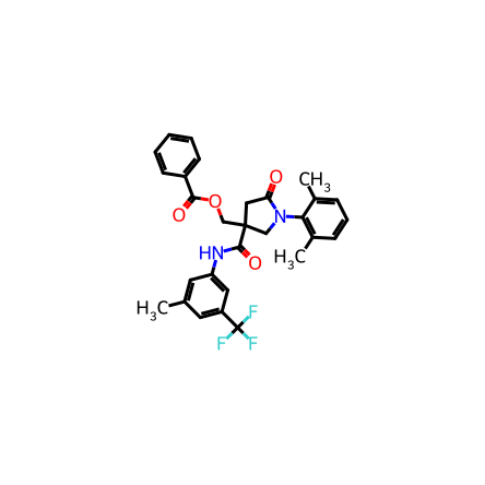 Cc1cc(NC(=O)C2(COC(=O)c3ccccc3)CC(=O)N(c3c(C)cccc3C)C2)cc(C(F)(F)F)c1